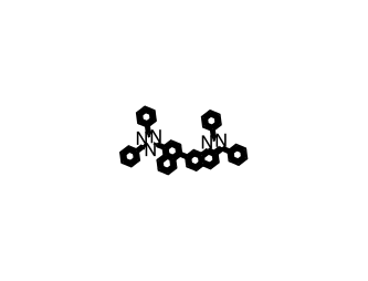 c1ccc(-c2nc(-c3ccccc3)nc(-c3ccc(-c4ccc5ccc6c(-c7ccccc7)nc(-c7ccccc7)nc6c5c4)c4ccccc34)n2)cc1